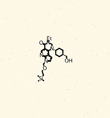 CCN1CN([C@H]2CC[C@H](CO)CC2)c2c(cnc3c2ccn3COCC[Si](C)(C)C)C1=O